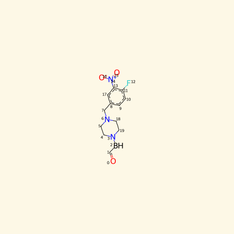 O=CBN1CCN(Cc2ccc(F)c([N+](=O)[O-])c2)CC1